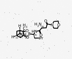 CC(C)C[C@H](NC(=O)[C@H](N)CC(=O)N1CCOCC1)B1OC2C[C@@H]3C[C@@H](C3(C)C)[C@]2(C)O1